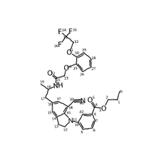 CCCOC(=O)c1cccc(N2CCc3cc(CC(C)NC(=O)COc4ccccc4OCC(F)(F)F)cc(C#N)c32)c1